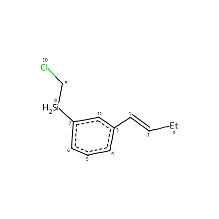 CCC=Cc1cccc([SiH2]CCl)c1